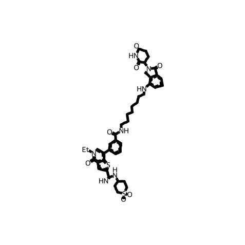 CCn1cc(-c2cccc(C(=O)NCCCCCCCCNc3cccc4c3CN(C3CCC(=O)NC3=O)C4=O)c2)c2sc(C(=N)NC3CCS(=O)(=O)CC3)cc2c1=O